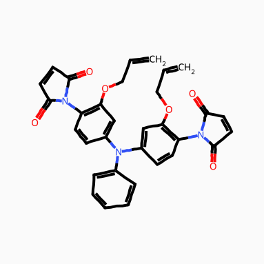 C=CCOc1cc(N(c2ccccc2)c2ccc(N3C(=O)C=CC3=O)c(OCC=C)c2)ccc1N1C(=O)C=CC1=O